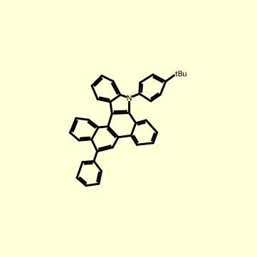 CC(C)(C)c1ccc(-n2c3ccccc3c3c4c5ccccc5c(-c5ccccc5)cc4c4ccccc4c32)cc1